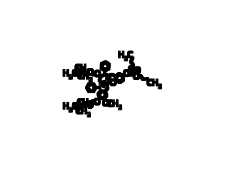 CCCCOP(=O)(COc1cccc(CN2C(=O)N(Cc3ccc(OCOCC[Si](C)(C)C)c(OC)c3)N(Cc3ccccc3)C[C@@H](OCOCC[Si](C)(C)C)C2c2ccccc2)c1)OCCCC